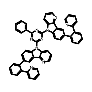 c1ccc(-c2nc(-n3c4ccc(-c5ccccc5-c5ccccn5)cc4c4ncccc43)nc(-n3c4ccc(-c5ccccc5-c5ccccn5)cc4c4ncccc43)n2)cc1